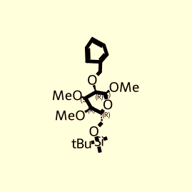 CO[C@H]1O[C@H](CO[Si](C)(C)C(C)(C)C)[C@@H](OC)[C@H](OC)[C@H]1OCc1ccccc1